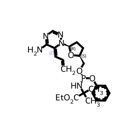 C=C/C=C1/C(N)=NC=NN1[C@H]1CC[C@@H](COP(NC(C)(C)C(=O)OCC)Oc2ccccc2)O1